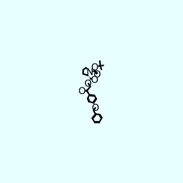 CC(C)(C)OC(=O)N1CCC[C@H]1C(=O)OCC(=O)c1ccc(OCc2ccccc2)cc1